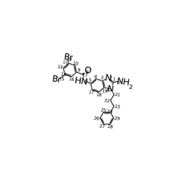 Nc1nc2cc(NC(=O)c3cc(Br)cc(Br)c3)ccc2n1CCCc1ccccc1